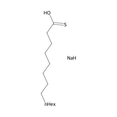 CCCCCCCCCCCCCC(O)=S.[NaH]